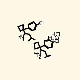 CC(C)CC(N(C)C)C1(c2ccc(Cl)cc2)CCC1.CC(C)CC(N(C)C)C1(c2ccc(Cl)cc2)CCC1.Cl.O